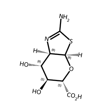 NC1=N[C@@H]2[C@@H](O)[C@H](O)[C@@H](C(=O)O)O[C@@H]2S1